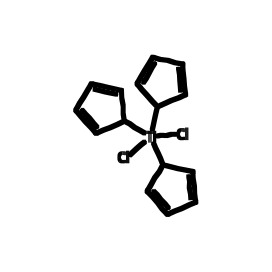 [Cl][Ti]([Cl])([CH]1C=CC=C1)([CH]1C=CC=C1)[CH]1C=CC=C1